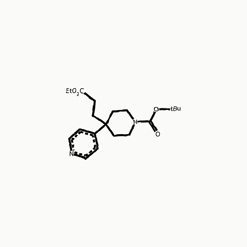 CCOC(=O)CCC1(c2ccncc2)CCN(C(=O)OC(C)(C)C)CC1